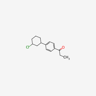 CCC(=O)c1ccc(C2CCCC(Cl)C2)cc1